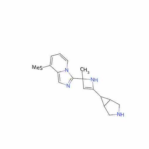 CSc1cccn2c(C3(C)C=C(C4C5CNCC54)N3)ncc12